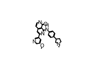 COc1cncc(-c2cc3c(c(Nc4ccc(C5CCN(C)C5)cc4)n2)C(=O)[N]C=C3)c1